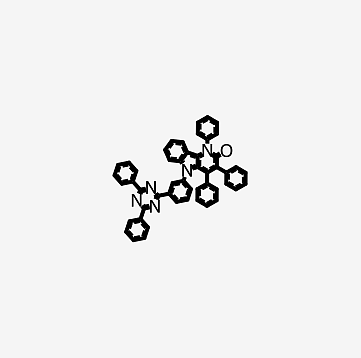 O=c1c(-c2ccccc2)c(-c2ccccc2)c2c(c3ccccc3n2-c2cccc(-c3nc(-c4ccccc4)nc(-c4ccccc4)n3)c2)n1-c1ccccc1